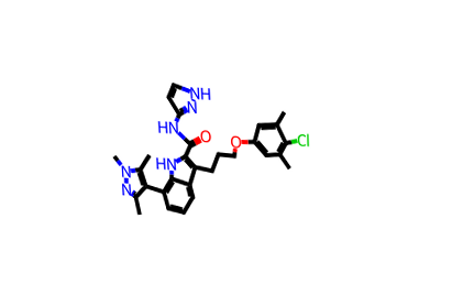 Cc1cc(OCCCc2c(C(=O)Nc3cc[nH]n3)[nH]c3c(-c4c(C)nn(C)c4C)cccc23)cc(C)c1Cl